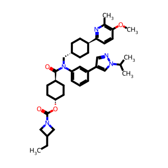 CCC1CN(C(=O)O[C@H]2CC[C@H](C(=O)N(C[C@H]3CC[C@H](c4ccc(OC)c(C)n4)CC3)c3cccc(-c4cnn(C(C)C)c4)c3)CC2)C1